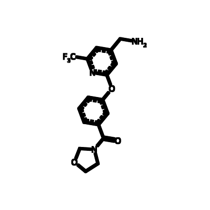 NCc1cc(Oc2cccc(C(=O)N3CCOC3)c2)nc(C(F)(F)F)c1